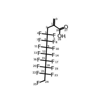 C=C(CC(F)(F)C(F)(F)C(F)(F)C(F)(F)C(F)(F)C(F)(F)C(F)(F)CF)C(=O)O